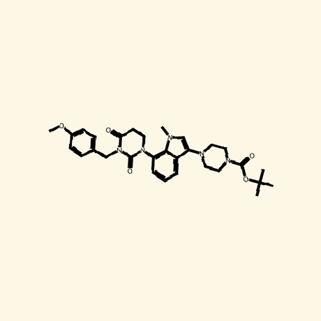 COc1ccc(CN2C(=O)CCN(c3cccc4c(N5CCN(C(=O)OC(C)(C)C)CC5)cn(C)c34)C2=O)cc1